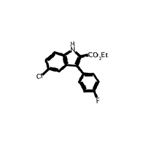 CCOC(=O)c1[nH]c2ccc(Cl)cc2c1-c1ccc(F)cc1